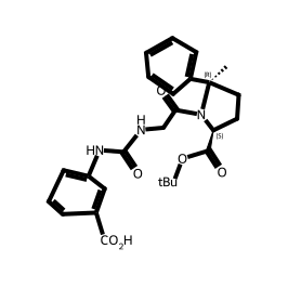 CC(C)(C)OC(=O)[C@@H]1CC[C@](C)(c2ccccc2)N1C(=O)CNC(=O)Nc1cccc(C(=O)O)c1